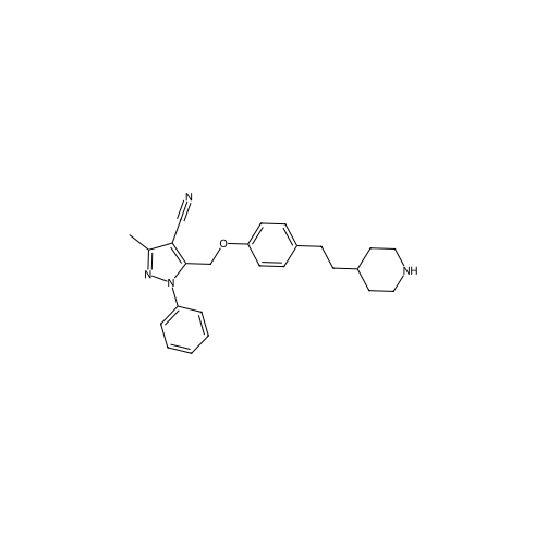 Cc1nn(-c2ccccc2)c(COc2ccc(CCC3CCNCC3)cc2)c1C#N